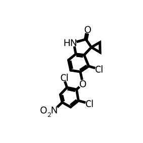 O=C1Nc2ccc(Oc3c(Cl)cc([N+](=O)[O-])cc3Cl)c(Cl)c2C12CC2